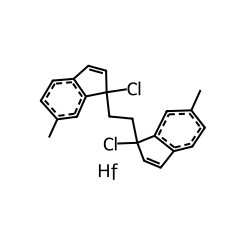 Cc1ccc2c(c1)C(Cl)(CCC1(Cl)C=Cc3ccc(C)cc31)C=C2.[Hf]